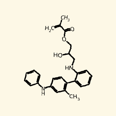 C=C(C)C(=O)OCC(O)CNc1ccccc1-c1ccc(Nc2ccccc2)cc1C